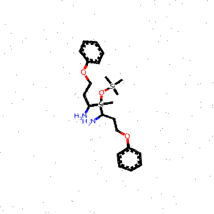 C[Si](C)(C)O[Si](C)(C(N)CCOc1ccccc1)C(N)CCOc1ccccc1